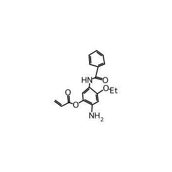 C=CC(=O)Oc1cc(NC(=O)c2ccccc2)c(OCC)cc1N